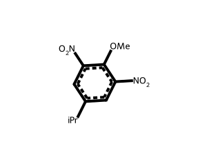 COc1c([N+](=O)[O-])cc(C(C)C)cc1[N+](=O)[O-]